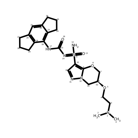 CN(C)CCO[C@@H]1COc2c(S(N)(=O)=NC(=O)Nc3c4c(cc5c3CCC5)CCC4)cnn2C1